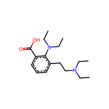 CCN(CC)CCc1cccc(C(=O)O)c1N(CC)CC